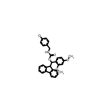 COc1ccc(C(OC(=O)NCc2ccc([O])cc2)C2c3ccccc3-c3ccccc32)c(OC)c1